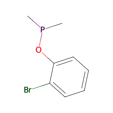 CP(C)Oc1ccccc1Br